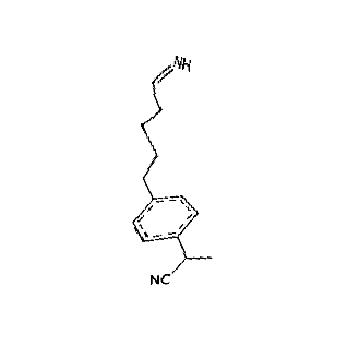 CC(C#N)c1ccc(CCCCC=N)cc1